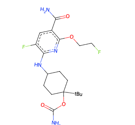 CC(C)(C)C1(OC(N)=O)CCC(Nc2nc(OCCF)c(C(N)=O)cc2F)CC1